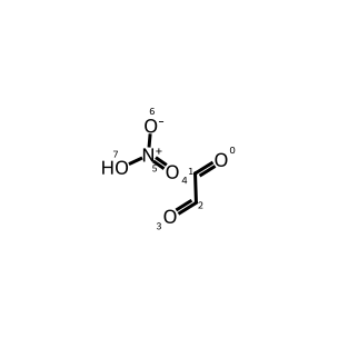 O=CC=O.O=[N+]([O-])O